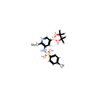 COc1ncc(B2OC(C)(C)C(C)(C)O2)cc1NS(=O)(=O)c1ccc(C#N)cc1